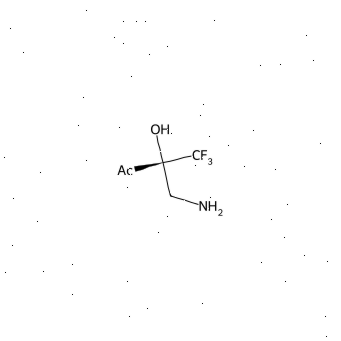 CC(=O)[C@](O)(CN)C(F)(F)F